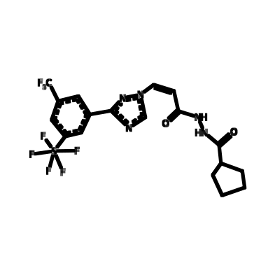 O=C(/C=C\n1cnc(-c2cc(C(F)(F)F)cc(S(F)(F)(F)(F)F)c2)n1)NNC(=O)C1CCCC1